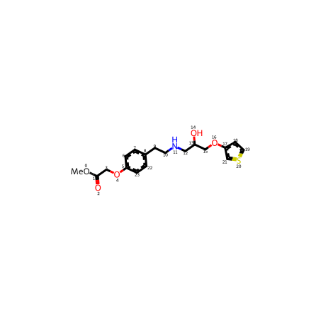 COC(=O)COc1ccc(CCNCC(O)COc2ccsc2)cc1